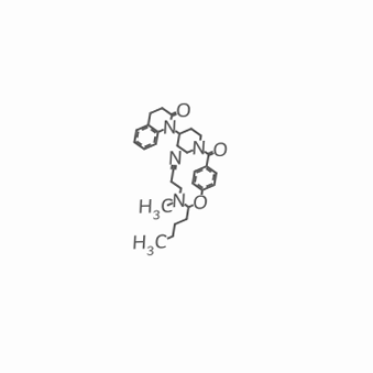 CCCCC(Oc1ccc(C(=O)N2CCC(N3C(=O)CCc4ccccc43)CC2)cc1)N(C)CCC#N